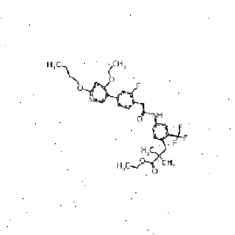 CCCCOc1cc(OCC)c(-c2ccc(CC(=O)Nc3ccc(CC(C)(C)C(=O)OCC)c(C(F)(F)F)c3)c(F)c2)cn1